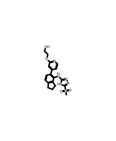 CS(=O)(=O)c1nnc(Nc2c(-c3ccnc(OCCO)c3)ccc3c2CCC3)[nH]1